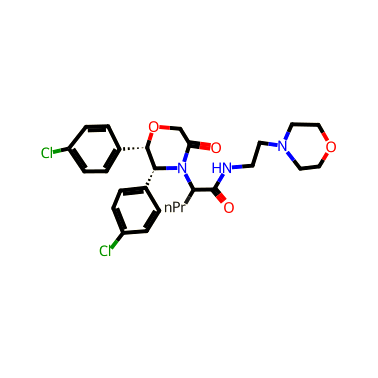 CCCC(C(=O)NCCN1CCOCC1)N1C(=O)CO[C@@H](c2ccc(Cl)cc2)[C@H]1c1ccc(Cl)cc1